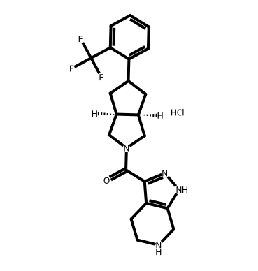 Cl.O=C(c1n[nH]c2c1CCNC2)N1C[C@H]2CC(c3ccccc3C(F)(F)F)C[C@H]2C1